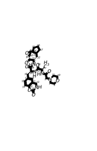 C[C@H](NC(=O)CN1CCOCC1)C(=O)N[C@@H](Cc1ccc2c(c1)CNC(=O)O2)C(=O)N[C@@H](CC1CCCC1)C(=O)[C@H]1CO1